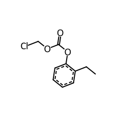 CCc1ccccc1OC(=O)OCCl